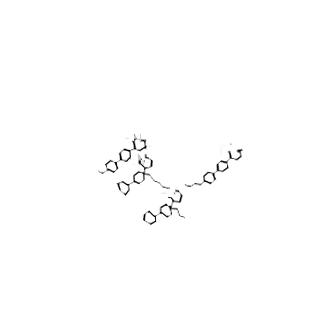 CCCC1(c2ccc(F)nc2F)C=CC(c2ccccc2)=CC1.CCCCCC1(c2ccc(F)nc2F)C=CC(c2ccccc2)=CC1.CCCCc1ccc(-c2ccc(-c3ccc(F)nc3F)cc2)cc1.CCc1ccc(-c2ccc(-c3ccc(F)nc3F)cc2)cc1